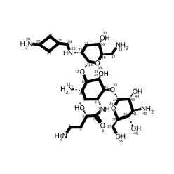 NCC[C@H](O)C(=O)N[C@@H]1C[C@H](N)C(O[C@H]2O[C@H](CN)[C@@H](O)C[C@H]2NCC2CC(N)C2)[C@H](O)[C@H]1O[C@H]1O[C@H](CO)[C@@H](O)[C@H](N)[C@H]1O